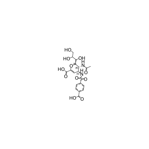 CC(=O)N[C@@H]1[C@@H](NS(=O)(=O)c2ccc(C(=O)O)cc2)C=C(C(=O)O)O[C@H]1C(O)C(O)CO